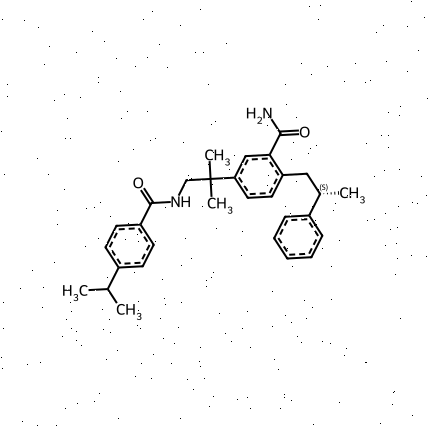 CC(C)c1ccc(C(=O)NCC(C)(C)c2ccc(C[C@H](C)c3ccccc3)c(C(N)=O)c2)cc1